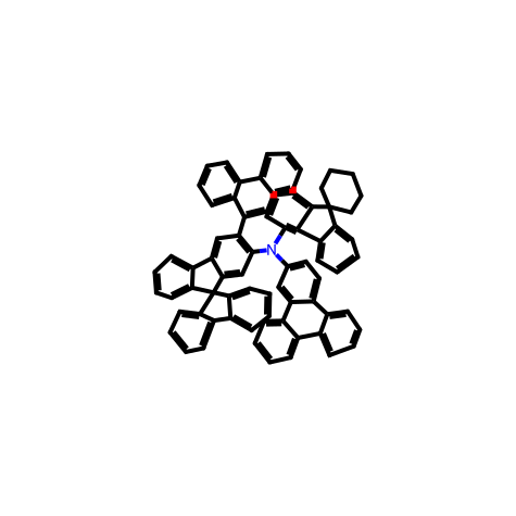 c1ccc2c(c1)-c1c(N(c3ccc4c5ccccc5c5ccccc5c4c3)c3cc4c(cc3-c3cc5ccccc5c5ccccc35)-c3ccccc3C43c4ccccc4-c4ccccc43)cccc1C21CCCCC1